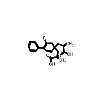 C=C(CC1(CC(=C)C(=O)O)C=CC(c2ccccc2)=C(F)C1)C(=O)O